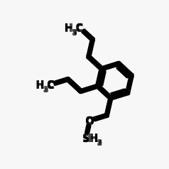 CCCc1cccc(CO[SiH3])c1CCC